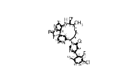 C[C@@H]1CCC[C@H](n2cnc(-c3c(I)ccc(Cl)c3F)cc2=O)c2cc(ccn2)-c2c(cnn2C(F)F)NC1=O